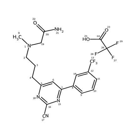 CN(CCCc1cc(-c2cccc(C(F)(F)F)c2)nc(C#N)n1)CC(N)=O.O=C(O)C(F)(F)F